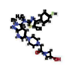 CCn1nc2ncc(N3CCN(CC(=O)N4CC(O)C4)CC3)cc2c1N(C)c1nc(-c2ccc(F)cc2)c(C#N)s1